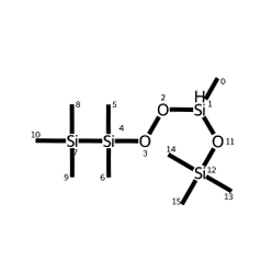 C[SiH](OO[Si](C)(C)[Si](C)(C)C)O[Si](C)(C)C